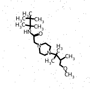 COCC(C)C(C)(C)N1CCN(CC(=O)NC(C)(C)C(C)(C)C)CC1